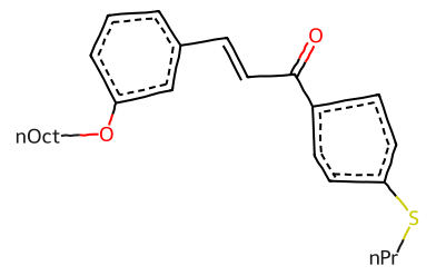 CCCCCCCCOc1cccc(C=CC(=O)c2ccc(SCCC)cc2)c1